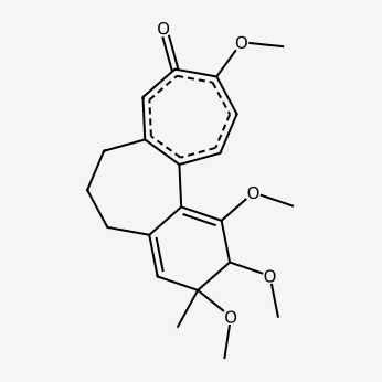 COC1=C2C(=CC(C)(OC)C1OC)CCCc1cc(=O)c(OC)ccc12